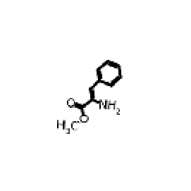 COC(=O)/C(N)=C/c1ccccc1